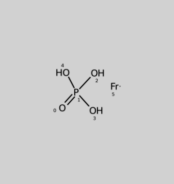 O=P(O)(O)O.[Fr]